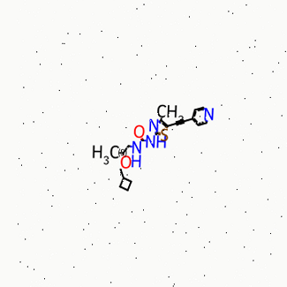 Cc1nc(NC(=O)NC[C@H](C)OCC2CCC2)sc1C#Cc1ccncc1